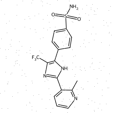 Cc1ncccc1-c1nc(C(F)(F)F)c(-c2ccc(S(N)(=O)=O)cc2)[nH]1